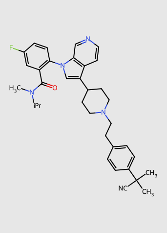 CC(C)N(C)C(=O)c1cc(F)ccc1-n1cc(C2CCN(CCc3ccc(C(C)(C)C#N)cc3)CC2)c2ccncc21